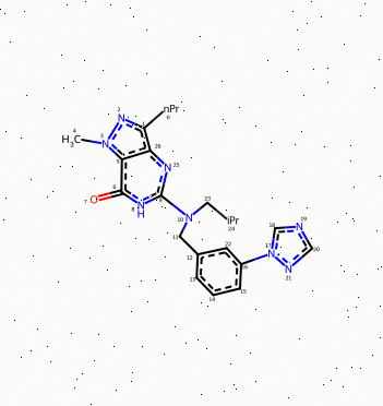 CCCc1nn(C)c2c(=O)[nH]c(N(Cc3cccc(-n4cncn4)c3)CC(C)C)nc12